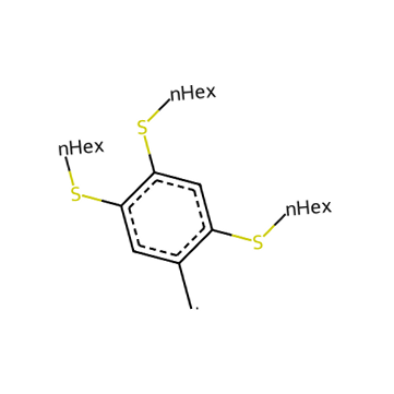 [CH2]c1cc(SCCCCCC)c(SCCCCCC)cc1SCCCCCC